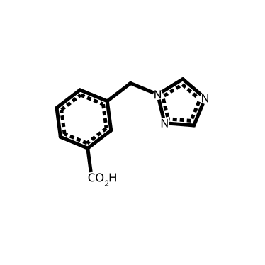 O=C(O)c1cccc(Cn2cncn2)c1